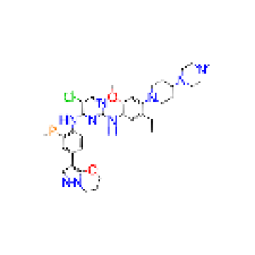 CCc1cc(Nc2ncc(Cl)c(Nc3ccc(-c4cnn5c4OCCC5)cc3P(C)C)n2)c(OC)cc1N1CCC(N2CCN(C)CC2)CC1